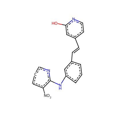 O=[N+]([O-])c1cccnc1Nc1cccc(/C=C/c2ccnc(O)c2)c1